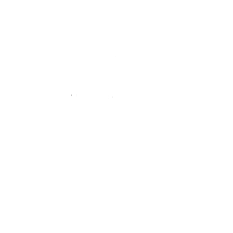 C=CCC1COC(C=O)OC1CC=C